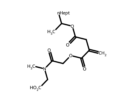 C=C(CC(=O)OC(C)CCCCCCC)C(=O)OCC(=O)N(C)CC(=O)O